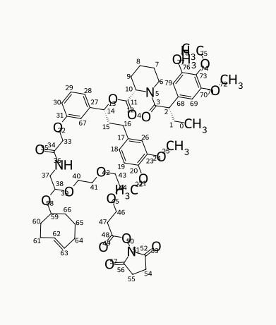 CC[C@H](C(=O)N1CCCC[C@H]1C(=O)O[C@H](CCc1ccc(OC)c(OC)c1)c1cccc(OCC(=O)NCC(OCCOCCOCCC(=O)ON2C(=O)CCC2=O)OC2CC/C=C/CCC2)c1)c1cc(OC)c(OC)c(OC)c1